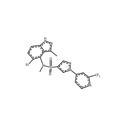 CCc1ccc2[nH]nc(C)c2c1N(C)S(=O)(=O)c1cnn(-c2ccnc(C(F)(F)F)c2)c1